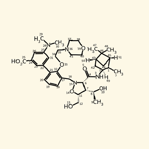 CC1[C@@H](NC(=O)[C@@H]2[C@H]([C@H](C)O)[C@H](CO)ON2Cc2cccc(-c3cc(C(=O)O)cc(N(C)C)c3)c2OCCN2CCOCC2)C[C@H]2C[C@@H]1C2(C)C